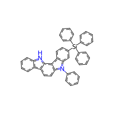 c1ccc(-n2c3cc([Si](c4ccccc4)(c4ccccc4)c4ccccc4)ccc3c3c4[nH]c5ccccc5c4ccc32)cc1